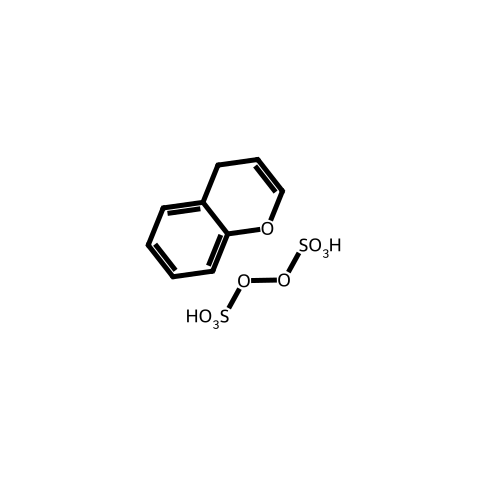 C1=COc2ccccc2C1.O=S(=O)(O)OOS(=O)(=O)O